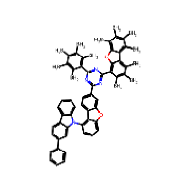 Bc1c(B)c(B)c(-c2nc(-c3ccc4c(c3)oc3cccc(-n5c6ccccc6c6ccc(-c7ccccc7)cc65)c34)nc(-c3c(B)c(B)c(B)c4c3oc3c(B)c(B)c(B)c(B)c34)n2)c(B)c1B